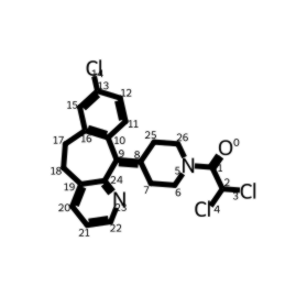 O=C(C(Cl)Cl)N1CCC(=C2c3ccc(Cl)cc3CCc3cccnc32)CC1